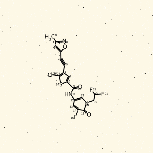 Cc1cc(C#Cc2cc(C(=O)Nc3cc(F)c(=O)n(CC(F)F)c3)sc2Cl)on1